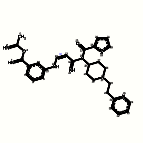 CC(=N)OC(=N)c1cccc(N/C=C\C(=N)N(C(=O)c2cccs2)C2CCN(CCc3ccccn3)CC2)c1